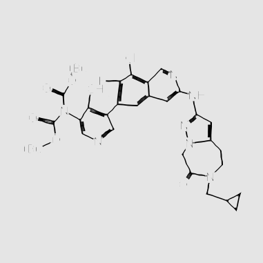 Cc1c(-c2cc3cc(Nc4cc5n(n4)CC(=O)N(CC4CC4)CC5)ncc3c(Cl)c2F)cncc1N(C(=O)OC(C)(C)C)C(=O)OC(C)(C)C